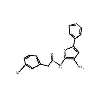 Nc1cc(-c2ccncc2)sc1NC(=O)Cc1cccc(Cl)c1